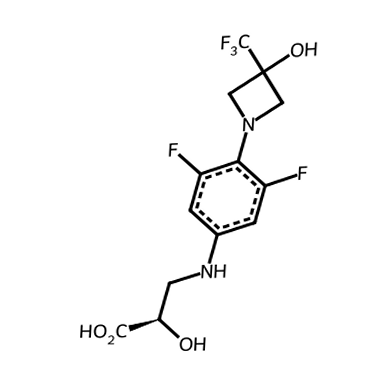 O=C(O)[C@H](O)CNc1cc(F)c(N2CC(O)(C(F)(F)F)C2)c(F)c1